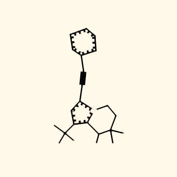 OC1c2c(C(F)(F)F)cc(C#Cc3ccccc3)n2CCC1(F)F